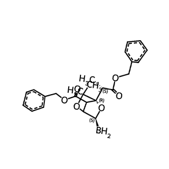 B[C@@H]1O[C@]2([C@H](C)C(=O)OCc3ccccc3)C(C(=O)OCc3ccccc3)C1OC2(C)C